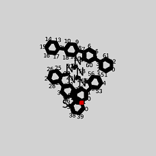 c1ccc(-c2ccc3c4ccc(-c5ccccc5)cc4n(-c4nc(-c5ccccc5-c5ccc6c(c5)sc5ccccc56)nc(-n5c6ccccc6c6ccccc65)n4)c3c2)cc1